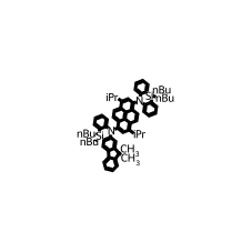 CCCC[Si]1(CCCC)c2ccccc2N(c2cc(C(C)C)c3ccc4c(N5c6ccccc6[Si](CCCC)(CCCC)c6cc7c(cc65)C(C)(C)c5ccccc5-7)cc(C(C)C)c5ccc2c3c54)c2ccccc21